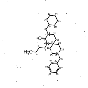 CCCCN1C(=O)N(CC2CCCCC2)CCC12CCN(Cc1ccccc1)CC2